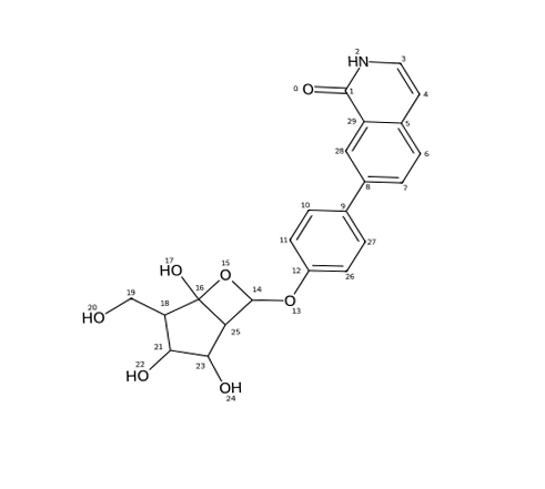 O=c1[nH]ccc2ccc(-c3ccc(OC4OC5(O)C(CO)C(O)C(O)C45)cc3)cc12